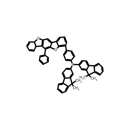 CC1(C)c2ccccc2-c2ccc(N(c3ccc(-c4cccc5c4oc4c(-c6ccccc6)c6c(cc45)OC4C=CC=CC64)cc3)c3ccc4c(c3)C(C)(C)c3ccccc3-4)cc21